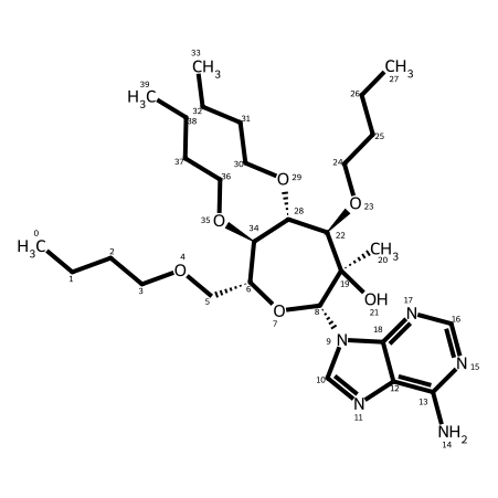 CCCCOC[C@H]1O[C@@H](n2cnc3c(N)ncnc32)[C@](C)(O)[C@H](OCCCC)[C@@H](OCCCC)[C@@H]1OCCCC